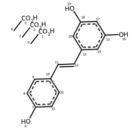 CC(=O)O.CC(=O)O.CC(=O)O.Oc1ccc(C=Cc2cc(O)cc(O)c2)cc1